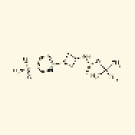 CC(C)(C)OC(=O)NC1CN(c2ccc(S(N)(=O)=O)cn2)C1